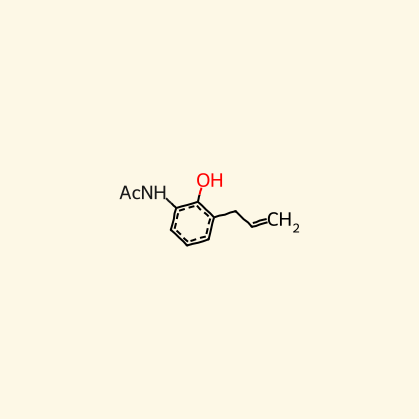 C=CCc1cccc(NC(C)=O)c1O